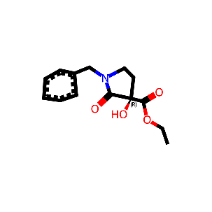 CCOC(=O)[C@@]1(O)CCN(Cc2ccccc2)C1=O